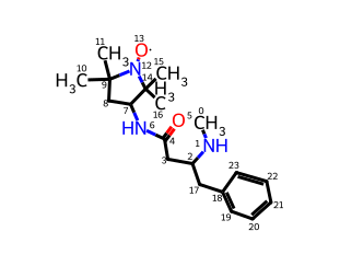 CNC(CC(=O)NC1CC(C)(C)N([O])C1(C)C)Cc1ccccc1